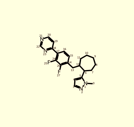 Cn1nccc1C1CCCCCC1Cc1ccc(-c2ccncn2)c(F)c1F